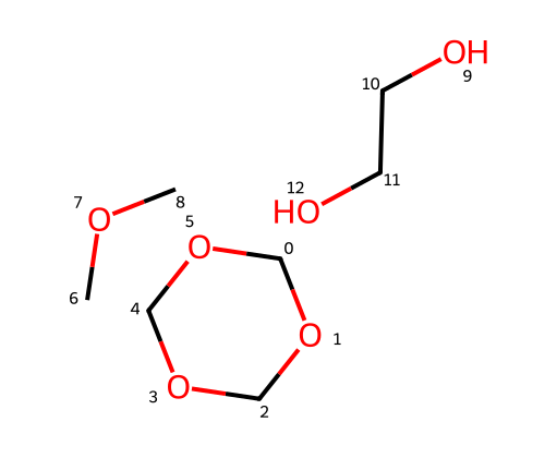 C1OCOCO1.COC.OCCO